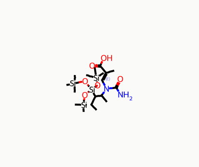 CCC(C(C)N(/C=C(\C)C(=O)O)C(N)=O)[Si](O[Si](C)(C)C)(O[Si](C)(C)C)O[Si](C)(C)C